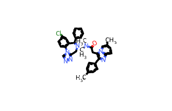 Cc1ccc(-c2nc3ccc(C)cn3c2CC(=O)N(C)C)cc1.Clc1ccc2c(c1)C(c1ccccc1)=NCc1nncn1-2